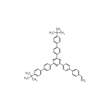 C=Cc1ccc(-c2ccc(-c3nc(-c4ccc(-c5ccc(C(C)(C)C)cc5)cc4)nc(-c4ccc(-c5ccc(C(C)(C)C)cc5)cc4)n3)cc2)cc1